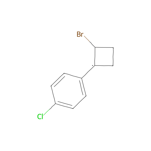 Clc1ccc([C]2CCC2Br)cc1